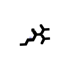 CC/C=C/C(=O)N(C(C)C)C(C)C